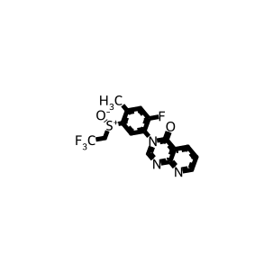 Cc1cc(F)c(-n2cnc3ncccc3c2=O)cc1[S+]([O-])CC(F)(F)F